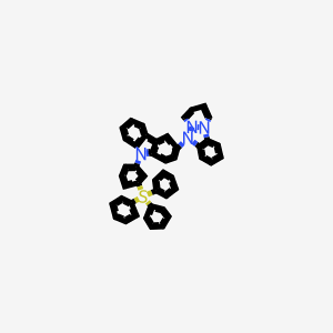 C1=CN2c3ccccc3N(c3ccc4c(c3)c3ccccc3n4-c3cccc(S(c4ccccc4)(c4ccccc4)c4ccccc4)c3)N2C=C1